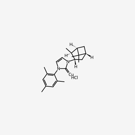 Cc1cc(C)c(-n2ccn([C@H]3C[C@H]4C[C@H]([C@@H]3C)C4(C)C)[c]2=[Cu])c(C)c1.Cl